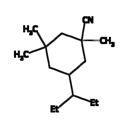 CCC(CC)C1CC(C)(C)CC(C)(C#N)C1